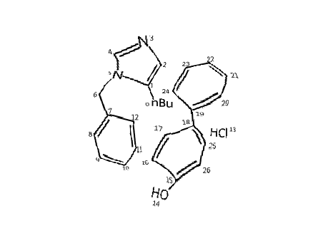 CCCCc1cncn1Cc1ccccc1.Cl.Oc1ccc(-c2ccccc2)cc1